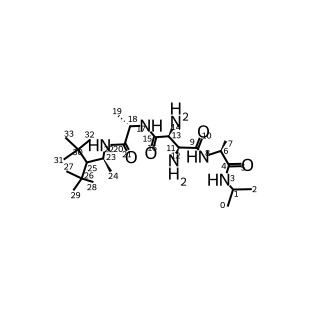 CC(C)NC(=O)[C@H](C)NC(=O)[C@@H](N)[C@H](N)C(=O)N[C@@H](C)C(=O)N[C@@H](C)C(C(C)(C)C)C(C)(C)C